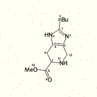 CCCCc1nc2c([nH]1)CC(C(=O)OC)NC2